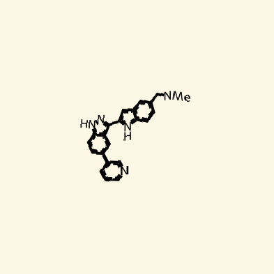 CNCc1ccc2[nH]c(-c3n[nH]c4ccc(-c5cccnc5)cc34)cc2c1